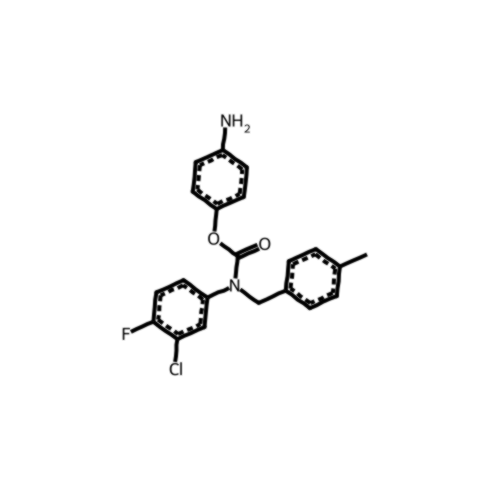 Cc1ccc(CN(C(=O)Oc2ccc(N)cc2)c2ccc(F)c(Cl)c2)cc1